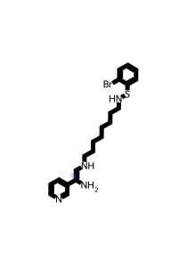 N/C(=C\NCCCCCCCCNSc1ccccc1Br)c1cccnc1